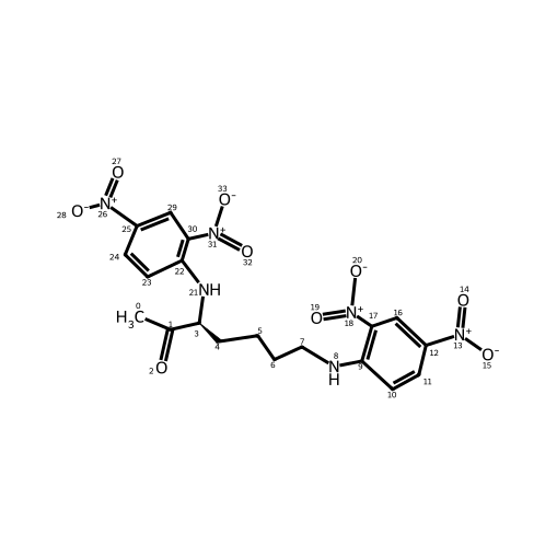 CC(=O)[C@H](CCCCNc1ccc([N+](=O)[O-])cc1[N+](=O)[O-])Nc1ccc([N+](=O)[O-])cc1[N+](=O)[O-]